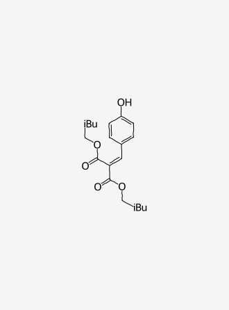 CCC(C)COC(=O)C(=Cc1ccc(O)cc1)C(=O)OCC(C)CC